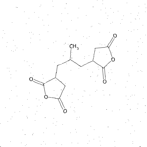 CC(CC1CC(=O)OC1=O)CC1CC(=O)OC1=O